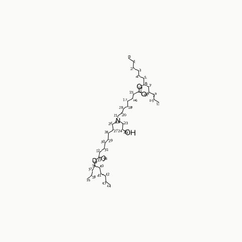 CCCCCCC(CCCCC)OC(=O)CCCCCCCN(CCO)CCCCCCCC(=O)OC(CCC)CCCCC